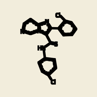 S=C(Nc1ccc(Cl)cc1)c1c(-c2ccccc2Cl)nc2ccncn12